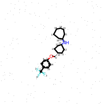 FC(F)(F)c1ccc(OC[C@H]2CC[C@H](NC3CCCCCC3)CC2)cc1